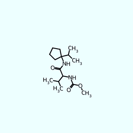 COC(=O)NC(C(=O)NC1(C(C)C)CCCC1)C(C)C